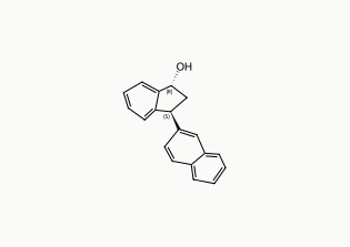 O[C@@H]1C[C@@H](c2ccc3ccccc3c2)c2ccccc21